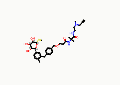 C#CCN(C)CCNC(=O)C(C)(C)NC(=O)CCOCc1ccc(Cc2cc([C@@H]3O[C@H](SC)[C@@H](O)[C@H](O)[C@H]3O)ccc2C)cc1